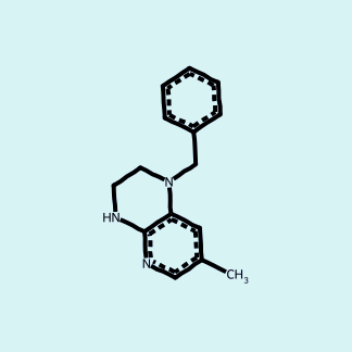 Cc1cnc2c(c1)N(Cc1ccccc1)CCN2